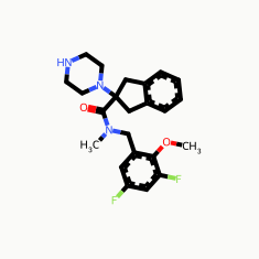 COc1c(F)cc(F)cc1CN(C)C(=O)C1(N2CCNCC2)Cc2ccccc2C1